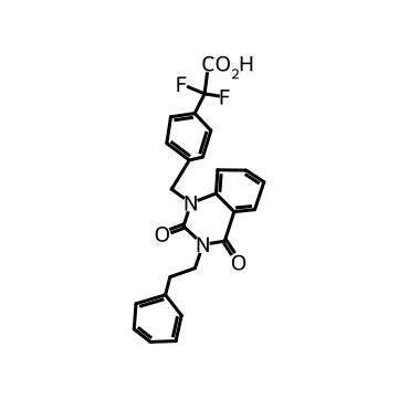 O=C(O)C(F)(F)c1ccc(Cn2c(=O)n(CCc3ccccc3)c(=O)c3ccccc32)cc1